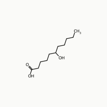 CCCCCC(O)CCCCC(=O)O